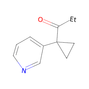 CCC(=O)C1(c2cccnc2)CC1